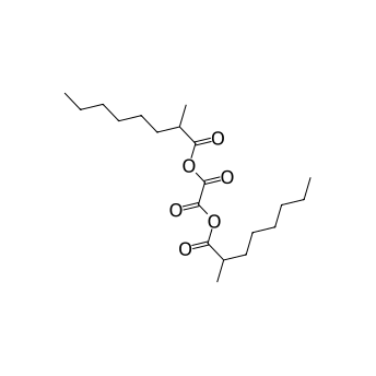 CCCCCCC(C)C(=O)OC(=O)C(=O)OC(=O)C(C)CCCCCC